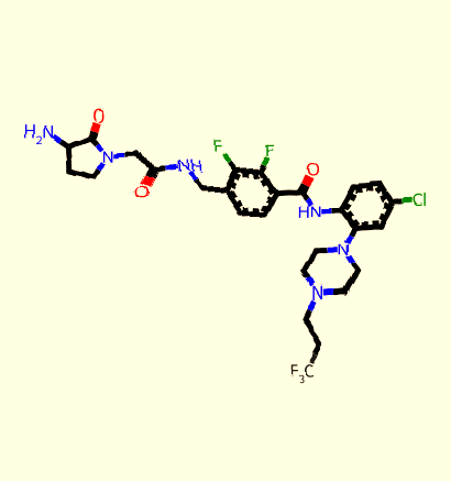 NC1CCN(CC(=O)NCc2ccc(C(=O)Nc3ccc(Cl)cc3N3CCN(CCC(F)(F)F)CC3)c(F)c2F)C1=O